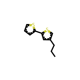 CCCc1csc(-c2cccs2)c1